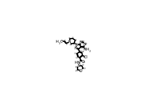 CC=CN1CCC[C@@H](n2nc(-c3ccc(C(=O)NN4CCOCC4)c(Cl)c3)c3c(N)ncnc32)C1